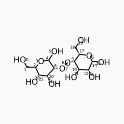 OC[C@H]1OC(O)[C@H](OO[C@H]2[C@H](O)[C@H](O)C(O)O[C@@H]2CO)[C@@H](O)[C@@H]1O